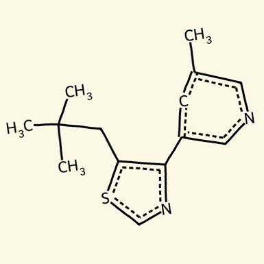 Cc1cncc(-c2ncsc2CC(C)(C)C)c1